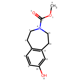 COC(=O)N1CCc2ccc(O)cc2CC1